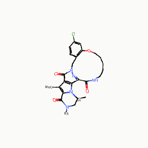 CCN1C[C@H](C)n2c(c(OC)c3c(=O)n4nc(c32)C(=O)NCCCCCOc2cc(Cl)ccc2C4)C1=O